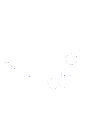 CC(=O)N1CCC(N2CCC(c3ccc(Cl)c(NC(C)c4ccc(Cl)cc4Cl)c3)CC2)C1